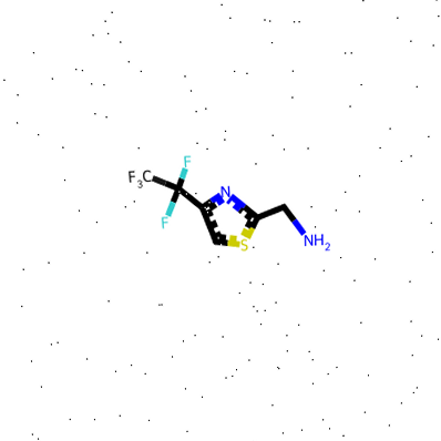 NCc1nc(C(F)(F)C(F)(F)F)cs1